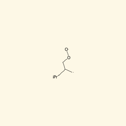 [CH2]C(CO[O])C(C)C